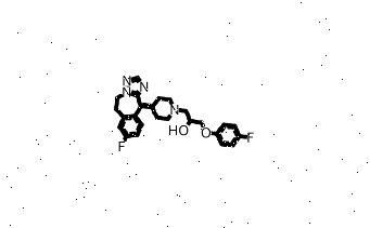 OC(COc1ccc(F)cc1)CN1CCC(=C2c3ccc(F)cc3CCn3ncnc32)CC1